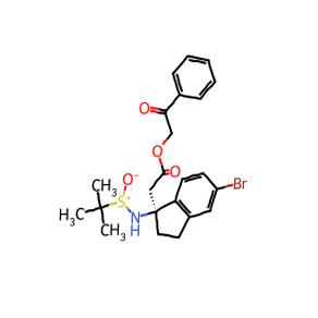 CC(C)(C)[S+]([O-])N[C@]1(CC(=O)OCC(=O)c2ccccc2)CCc2cc(Br)ccc21